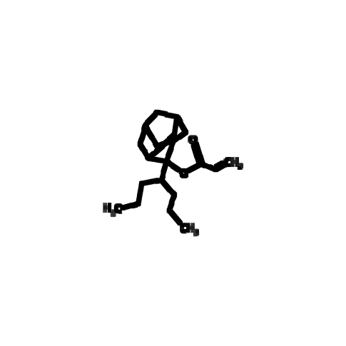 C=CC(=O)OC1(C(CCC)CCC)C2CC3CC(C2)CC1C3